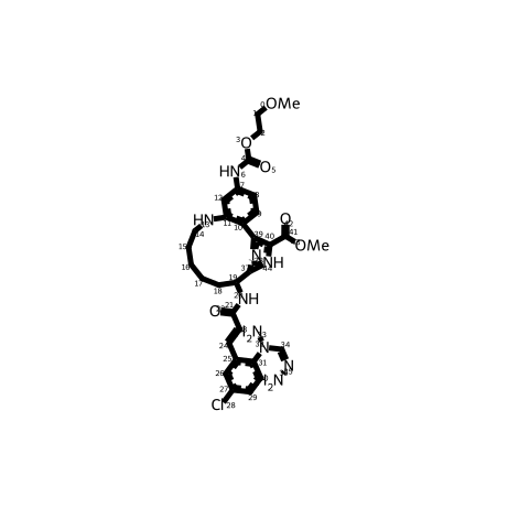 COCCOC(=O)Nc1ccc2c(c1)NCCCCCC(NC(=O)/C=C/c1cc(Cl)ccc1N(N)/C=N\N)c1nc-2c(C(=O)OC)[nH]1